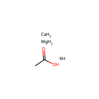 [CH2]C(=O)O.[CaH2].[KH].[MgH2]